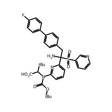 CC(C)(C)OC(=O)N(c1cccc(C(N)(Cc2ccc(-c3ccc(F)cc3)cc2)S(=O)(=O)c2cccnc2)n1)C(C(=O)O)C(C)(C)C